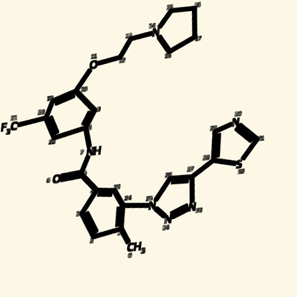 Cc1ccc(C(=O)Nc2cc(OCCN3CCCC3)cc(C(F)(F)F)c2)cc1-n1cc(-c2cncs2)nn1